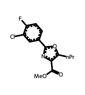 CCCc1oc(-c2ccc(F)c(Cl)c2)nc1C(=O)OC